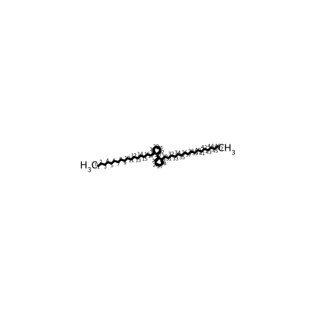 CCCCCCCCCCCCCCCCCCc1ccccc1-c1ccccc1CCCCCCCCCCCCCCCCCC